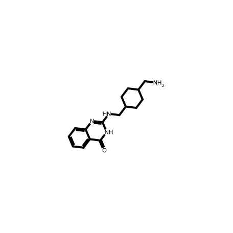 NCC1CCC(CNc2nc3ccccc3c(=O)[nH]2)CC1